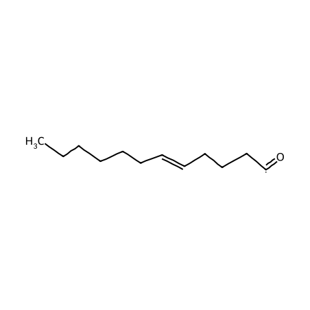 CCCCCC/C=C/CCC[C]=O